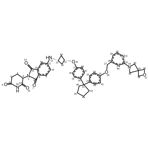 O=C1CCC(N2C(=O)c3ccc(N[C@H]4C[C@@H](Oc5ccc(C6(c7ccc(OCc8ccnc(N9CC%10(COC%10)C9)n8)cc7)CCCC6)cc5)C4)cc3C2=O)C(=O)N1